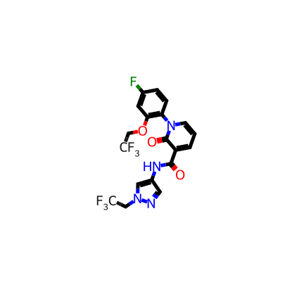 O=C(Nc1cnn(CC(F)(F)F)c1)c1cccn(-c2ccc(F)cc2OCC(F)(F)F)c1=O